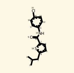 CC(C)Cc1ccc(C(=O)Nc2ccc(Cl)cc2)s1